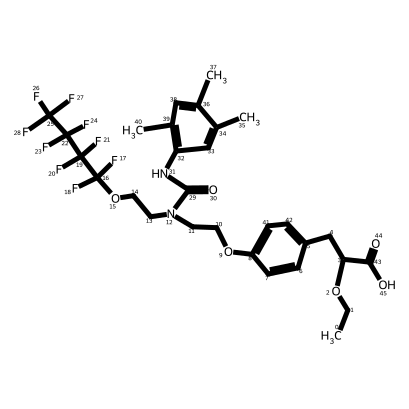 CCOC(Cc1ccc(OCCN(CCOC(F)(F)C(F)(F)C(F)(F)C(F)(F)F)C(=O)Nc2cc(C)c(C)cc2C)cc1)C(=O)O